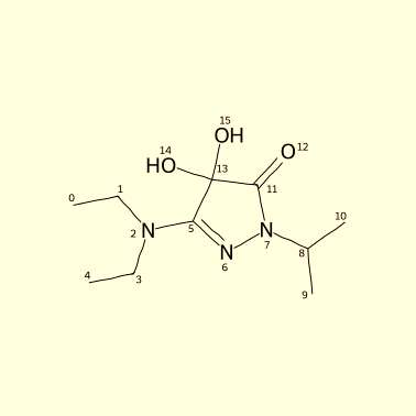 CCN(CC)C1=NN(C(C)C)C(=O)C1(O)O